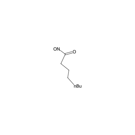 CCCCCCCC(=O)N=O